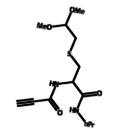 C#CC(=O)NC(CSCC(OC)OC)C(=O)NCCC